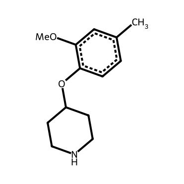 COc1cc(C)ccc1OC1CCNCC1